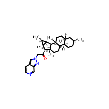 C[C@H]1CC[C@H]2[C@H](CC[C@H]3C4[C@@H]5[C@H](C)[C@@H]5[C@H](C(=O)Cn5cc6ccncc6n5)[C@@]4(C)CC[C@H]23)C1